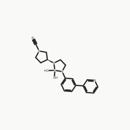 N#CN1CC[C@H](N2CCN(c3cccc(-c4cccnc4)c3)S2(O)O)C1